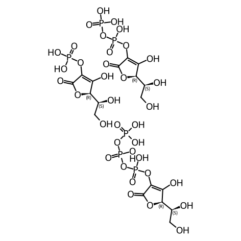 O=C1O[C@H]([C@@H](O)CO)C(O)=C1OP(=O)(O)O.O=C1O[C@H]([C@@H](O)CO)C(O)=C1OP(=O)(O)OP(=O)(O)O.O=C1O[C@H]([C@@H](O)CO)C(O)=C1OP(=O)(O)OP(=O)(O)OP(=O)(O)O